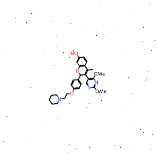 COc1ncc(C2=C(C)c3ccc(O)cc3OC2c2ccc(OCCN3CCCCC3)cc2)c(OC)n1